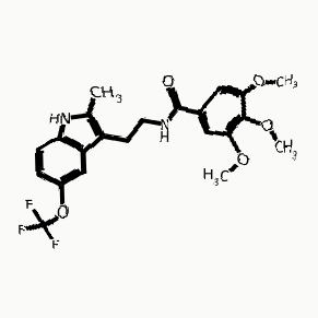 COc1cc(C(=O)NCCc2c(C)[nH]c3ccc(OC(F)(F)F)cc23)cc(OC)c1OC